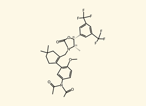 COc1ccc(N(C(C)=O)C(C)=O)cc1C1=C(CN2C(=O)O[C@H](c3cc(C(F)(F)F)cc(C(F)(F)F)c3)[C@@H]2C)CC(C)(C)CC1